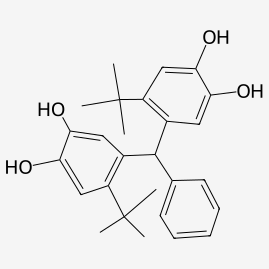 CC(C)(C)c1cc(O)c(O)cc1C(c1ccccc1)c1cc(O)c(O)cc1C(C)(C)C